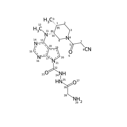 C[C@@H]1CCN(C(=O)CC#N)C[C@@H]1N(C)c1ncnc2c1ccn2C(=O)NNC(=O)CN